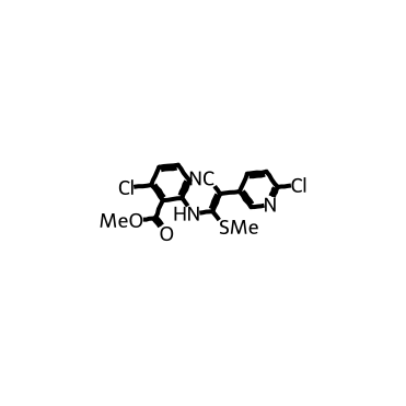 COC(=O)c1c(Cl)cccc1NC(SC)=C(C#N)c1ccc(Cl)nc1